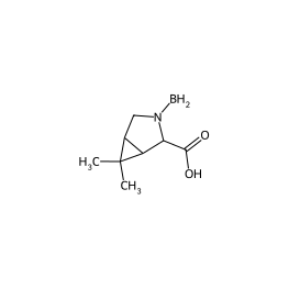 BN1CC2C(C1C(=O)O)C2(C)C